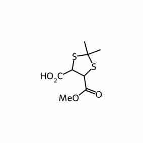 COC(=O)C1SC(C)(C)SC1C(=O)O